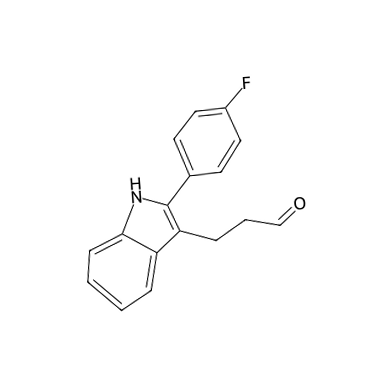 O=CCCc1c(-c2ccc(F)cc2)[nH]c2ccccc12